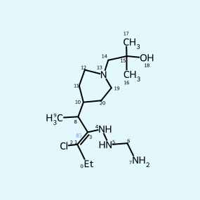 CC/C(Cl)=C(\NNCN)C(C)C1CCN(CC(C)(C)O)CC1